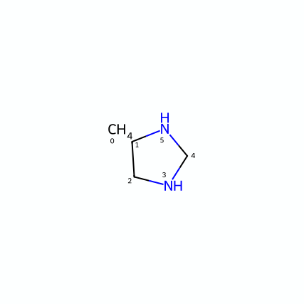 C.C1CNCN1